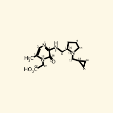 Cc1cnc(NC[C@H]2CCCN2CC2CC2)c(=O)n1CC(=O)O